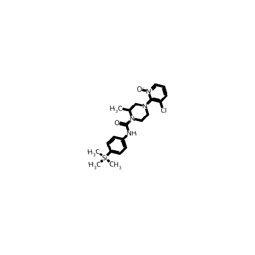 CC1CN(c2c(Cl)ccc[n+]2[O-])CCN1C(=O)Nc1ccc([Si](C)(C)C)cc1